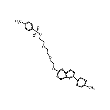 Cc1ccc(-c2ccc3cc(OCCOCCOCCOS(=O)(=O)c4ccc(C)cc4)ccc3n2)cc1